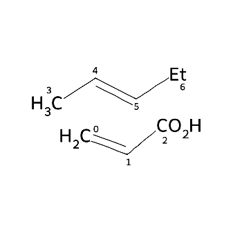 C=CC(=O)O.CC=CCC